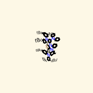 Cc1cc2c3c(c1)N1c4ccccc4N4c5cc(N(c6ccccc6)c6ccccc6)cc6c5B(c5ccc(C(C)(C)C)cc5N6c5cc(C(C)(C)C)cc(C(C)(C)C)c5)c5sc(c1c54)B3c1cc(C(C)(C)C)ccc1N2c1cc(C(C)(C)C)cc(C(C)(C)C)c1